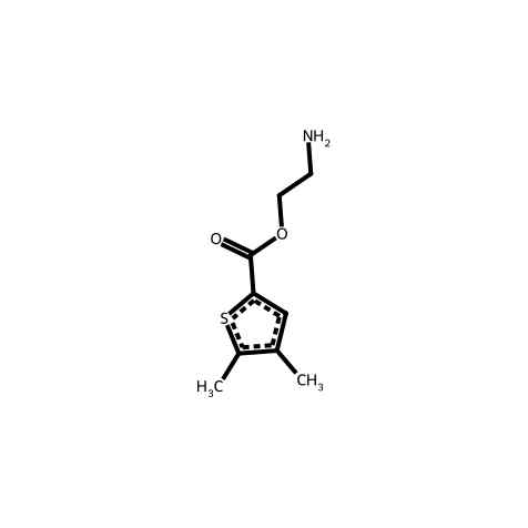 Cc1cc(C(=O)OCCN)sc1C